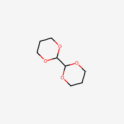 [CH]1CCOC(C2OCCCO2)O1